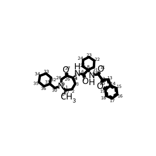 C[C@@H]1CC[C@H](NC(=O)C2(NC(=O)c3cc4ccccc4o3)CCCCC2)C(=O)CN1CC1CCCCC1